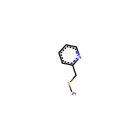 [CH2]C(C)SCc1ccccn1